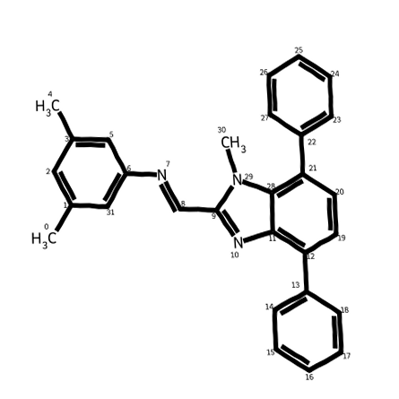 Cc1cc(C)cc(/N=C/c2nc3c(-c4ccccc4)ccc(-c4ccccc4)c3n2C)c1